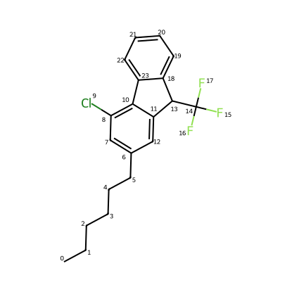 CCCCCCc1cc(Cl)c2c(c1)C(C(F)(F)F)c1ccccc1-2